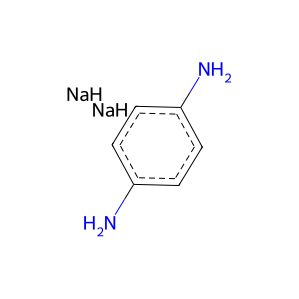 Nc1ccc(N)cc1.[NaH].[NaH]